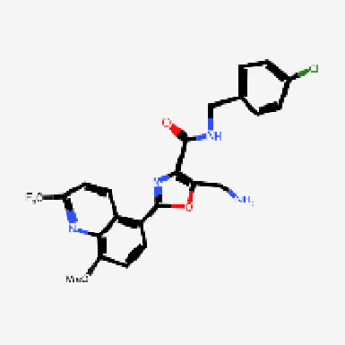 COc1ccc(-c2nc(C(=O)NCc3ccc(Cl)cc3)c(CN)o2)c2ccc(C(F)(F)F)nc12